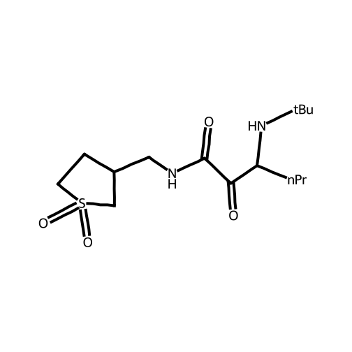 CCCC(NC(C)(C)C)C(=O)C(=O)NCC1CCS(=O)(=O)C1